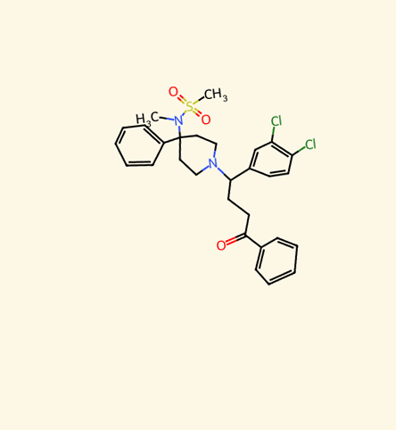 CN(C1(c2ccccc2)CCN(C(CCC(=O)c2ccccc2)c2ccc(Cl)c(Cl)c2)CC1)S(C)(=O)=O